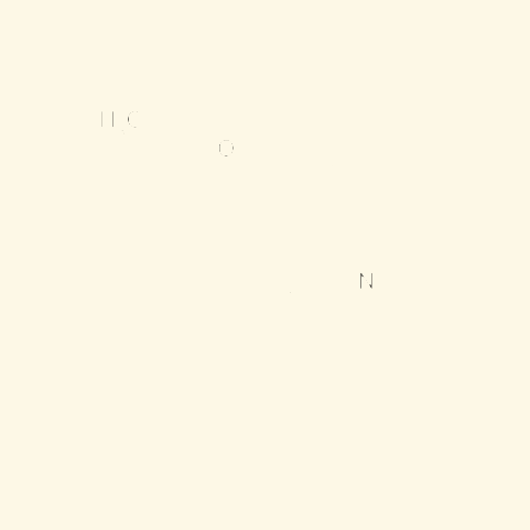 CCOc1c(-c2cccc3ccccc23)[c]nc2ccccc12